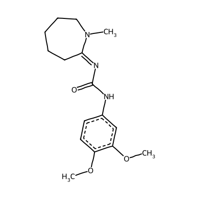 COc1ccc(NC(=O)N=C2CCCCCN2C)cc1OC